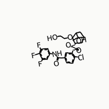 O=C(Nc1cc(F)c(F)c(F)c1)c1ccc(Cl)c(S(=O)(=O)C2CC3CC(C2)C3(O)COCCO)c1